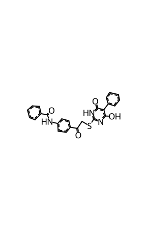 O=C(CSc1nc(O)c(-c2ccccc2)c(=O)[nH]1)c1ccc(NC(=O)c2ccccc2)cc1